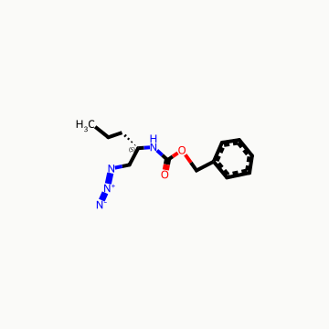 CCC[C@@H](CN=[N+]=[N-])NC(=O)OCc1ccccc1